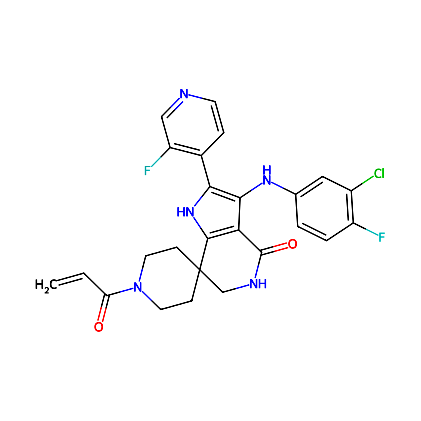 C=CC(=O)N1CCC2(CC1)CNC(=O)c1c2[nH]c(-c2ccncc2F)c1Nc1ccc(F)c(Cl)c1